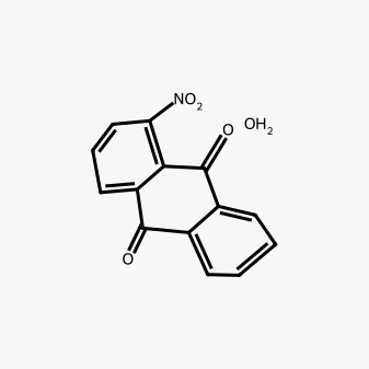 O.O=C1c2ccccc2C(=O)c2c1cccc2[N+](=O)[O-]